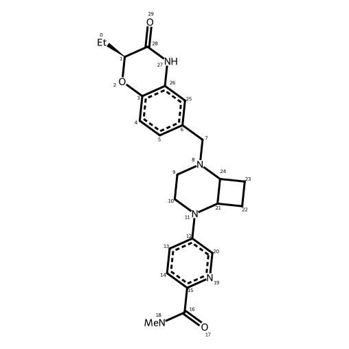 CC[C@@H]1Oc2ccc(CN3CCN(c4ccc(C(=O)NC)nc4)C4CCC43)cc2NC1=O